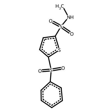 CNS(=O)(=O)c1ccc(S(=O)(=O)c2ccccc2)s1